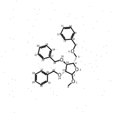 COC1O[C@@H](COCc2ccccc2)[C@H](OCc2ccccc2)[C@H]1OCc1ccccc1